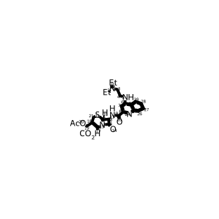 CCN(CC)CCNc1cc(C(=O)N[C@@H]2C(=O)N3C(C(=O)O)=C(COC(C)=O)CS[C@H]23)nc2ccccc12